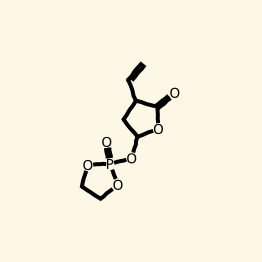 C=CC1CC(OP2(=O)OCCO2)OC1=O